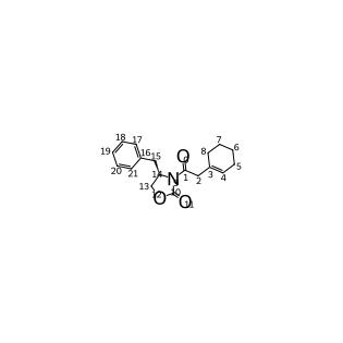 O=C(CC1=CCCCC1)N1C(=O)OC[C@H]1Cc1ccccc1